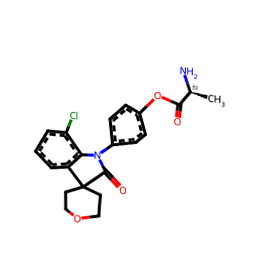 C[C@H](N)C(=O)Oc1ccc(N2C(=O)C3(CCOCC3)c3cccc(Cl)c32)cc1